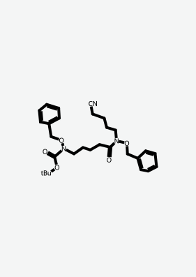 CC(C)(C)OC(=O)N(CCCCC(=O)N(CCCCC#N)OCc1ccccc1)OCc1ccccc1